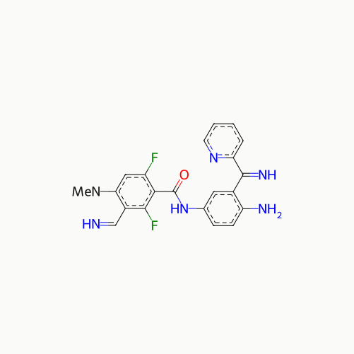 CNc1cc(F)c(C(=O)Nc2ccc(N)c(C(=N)c3ccccn3)c2)c(F)c1C=N